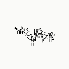 CC(C)CC(=O)Nc1cncc(-c2ccc3[nH]nc(-c4cc5c(-c6cc(F)cc(CNS(C)(=O)=O)c6)cccc5[nH]4)c3n2)c1